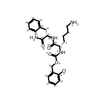 NCCCC[C@H](NC(=O)OCc1ccccc1Cl)C(=O)N[C@@H](Cc1ccccc1)C(N)=O